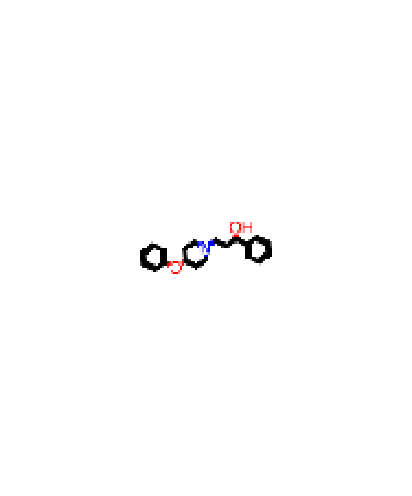 OC(CCN1CCC(Oc2ccccc2)CC1)c1ccccc1